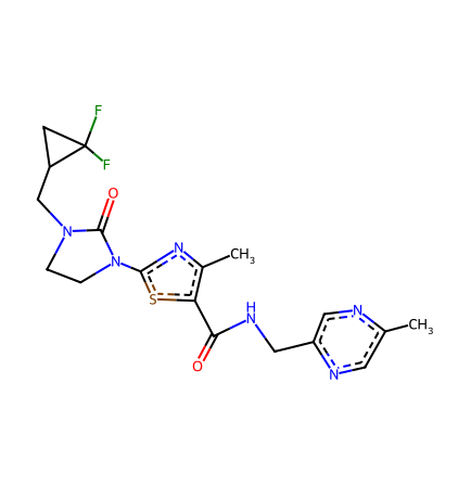 Cc1cnc(CNC(=O)c2sc(N3CCN(CC4CC4(F)F)C3=O)nc2C)cn1